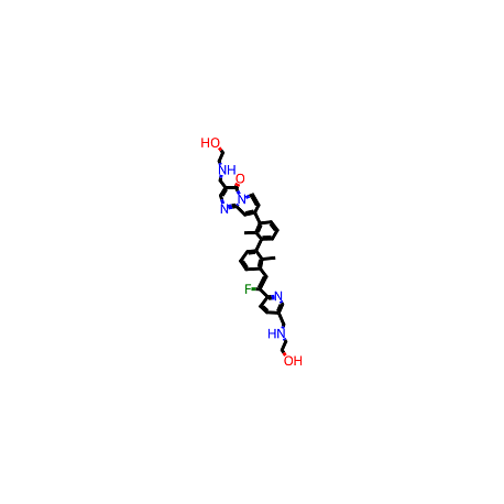 Cc1c(C=C(F)c2ccc(CNCCO)cn2)cccc1-c1cccc(-c2ccn3c(=O)c(CNCCO)cnc3c2)c1C